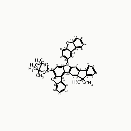 CC1(C)c2ccccc2-c2cc3c(cc21)c1c2c(oc4ccccc42)c(B2OC(C)(C)C(C)(C)O2)cc1n3-c1ccc2oc3ccccc3c2c1